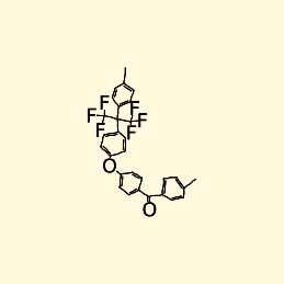 Cc1ccc(C(=O)c2ccc(Oc3ccc(C(c4ccc(C)cc4)(C(F)(F)F)C(F)(F)F)cc3)cc2)cc1